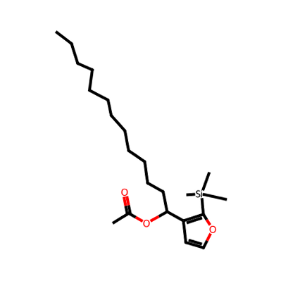 CCCCCCCCCCCCC(OC(C)=O)c1ccoc1[Si](C)(C)C